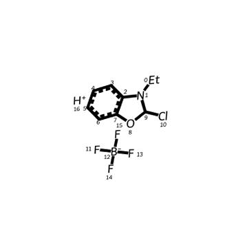 CCN1c2ccccc2OC1Cl.F[B-](F)(F)F.[H+]